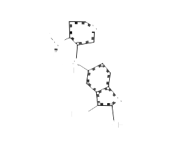 Cc1[nH]c2ccc([NH+]([O-])c3cnccc3[N+](=O)[O-])cc2c1C